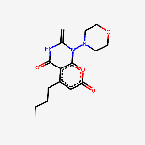 C=C1NC(=O)c2c(CCCC)cc(=O)oc2N1N1CCOCC1